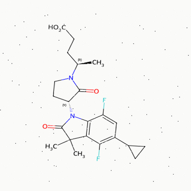 C[C@H](CCC(=O)O)N1CC[C@@H](N2C(=O)C(C)(C)c3c(F)c(C4CC4)cc(F)c32)C1=O